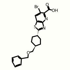 O=C(O)c1nc2nc([C@H]3CC[C@H](COCc4ccccc4)CC3)sc2cc1Br